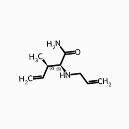 C=CCN[C@H](C(N)=O)[C@H](C)C=C